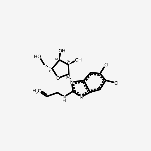 C=CCNc1nc2cc(Cl)c(Cl)cc2n1[C@@H]1O[C@H](CO)[C@@H](O)[C@H]1O